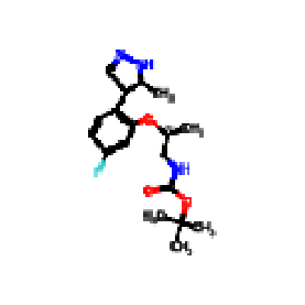 CC1NN=CC1c1ccc(F)cc1O[C@@H](C)CNC(=O)OC(C)(C)C